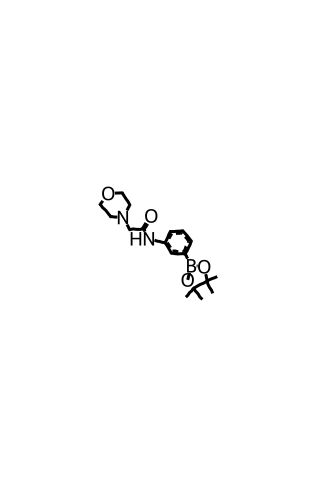 CC1(C)OB(c2cccc(NC(=O)CN3CCOCC3)c2)OC1(C)C